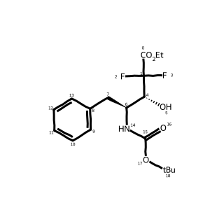 CCOC(=O)C(F)(F)[C@H](O)[C@H](Cc1ccccc1)NC(=O)OC(C)(C)C